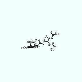 C=C(CC1CCC(OC(=C)CCCC)C1C/C=C\CC)CC(CCCCCCCC)C1(C)SC1(C)C(CCCCCCCC)CCCCCCCC